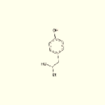 CCC(O)Cc1ccc(O)cc1